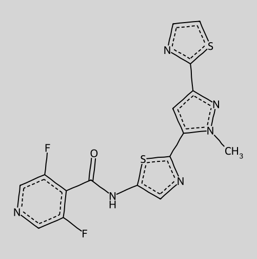 Cn1nc(-c2nccs2)cc1-c1ncc(NC(=O)c2c(F)cncc2F)s1